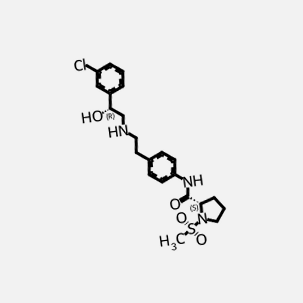 CS(=O)(=O)N1CCC[C@H]1C(=O)Nc1ccc(CCNC[C@H](O)c2cccc(Cl)c2)cc1